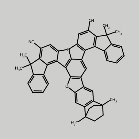 CC12CCC(C)(CC1)c1cc3c(cc12)oc1c3cc2c3c4c(c(C#N)cc3n3c5cc(C#N)c6c(c5c1c23)-c1ccccc1C6(C)C)C(C)(C)c1ccccc1-4